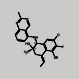 C/C=C1\C[C@@](O)(C(F)(F)F)[C@@H](Nc2cccc3nc(C)ncc23)c2cc(Cl)c(F)c(O)c21